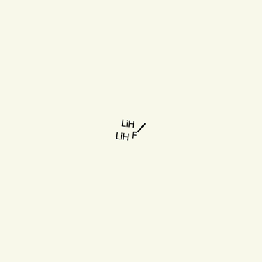 CF.[LiH].[LiH]